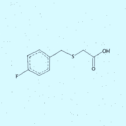 O=C(O)CSCc1ccc(F)cc1